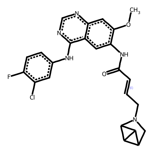 COc1cc2ncnc(Nc3ccc(F)c(Cl)c3)c2cc1NC(=O)/C=C/CN1CC2C3C2C31